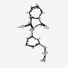 [N-]=[N+]=Nc1cccc(N2C(=O)c3ccccc3C2=O)c1